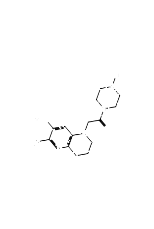 COc1cc2c(cc1N)CCCN2CC(=O)N1CCN(C)CC1